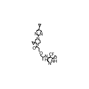 CC(COCCC(=O)N1CCN(c2ncc(C3CC3)cn2)CC12CC2)Nc1cn[nH]c(=O)c1C(F)(F)F